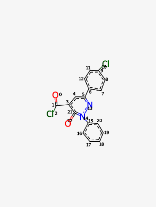 O=C(Cl)c1cc(-c2ccc(Cl)cc2)nn(-c2ccccc2)c1=O